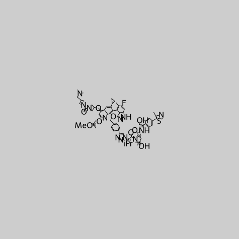 CO[C@@H](C)COc1cc(OC2CN(C(=O)N3CC(CN(C)C)C3)C2)c2cc(C3CC3)c(-c3c(C)c(F)cc4[nH]ncc34)c(OCc3ccc(-c4cn([C@H](C(=O)N5C[C@H](O)C[C@H]5C(=O)N[C@@H](CO)c5ccc(-c6scnc6C)cc5)C(C)C)nn4)cc3)c2n1